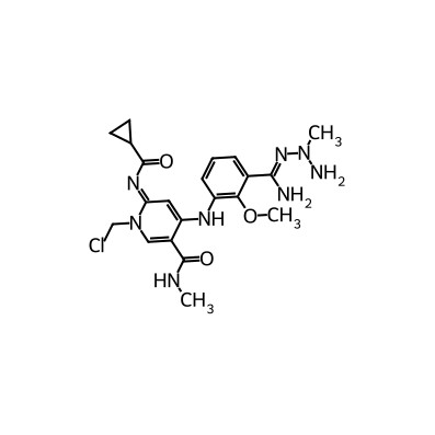 CNC(=O)c1cn(CCl)/c(=N/C(=O)C2CC2)cc1Nc1cccc(/C(N)=N/N(C)N)c1OC